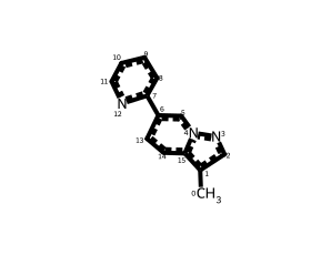 Cc1cnn2cc(-c3ccccn3)ccc12